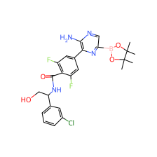 CC1(C)OB(c2cnc(N)c(-c3cc(F)c(C(=O)NC(CO)c4cccc(Cl)c4)c(F)c3)n2)OC1(C)C